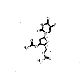 CC(=O)OC[C@@H]1O[C@H](n2cc(F)c(=O)[nH]c2=O)CC1OC(C)=O